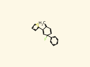 C=C1C=CC(F)(c2ccccc2)C=C1c1cccs1